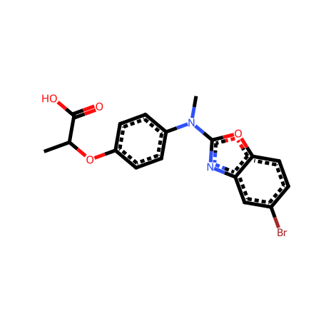 CC(Oc1ccc(N(C)c2nc3cc(Br)ccc3o2)cc1)C(=O)O